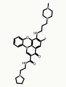 CN1CCN(CCCNc2c(F)cc3c(=O)c(C(=O)NCCN4CCCC4)cn4c3c2Oc2ccccc2-4)CC1